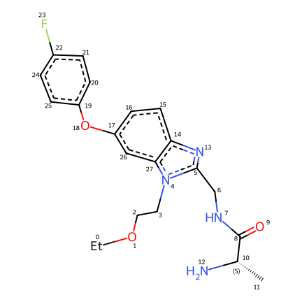 CCOCCn1c(CNC(=O)[C@H](C)N)nc2ccc(Oc3ccc(F)cc3)cc21